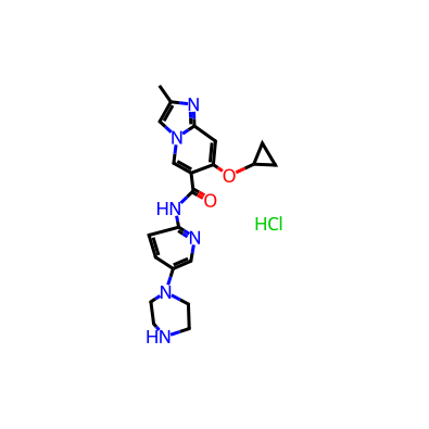 Cc1cn2cc(C(=O)Nc3ccc(N4CCNCC4)cn3)c(OC3CC3)cc2n1.Cl